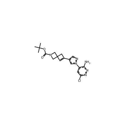 CC(C)(C)OC(=O)N1CC2(C=C(c3cnn(-c4cc(Cl)nnc4N)c3)C2)C1